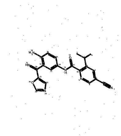 CC(C)c1cc(C#N)cnc1C(=O)Nc1ccc(N)c(C(=N)c2cnco2)c1